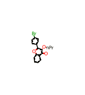 CCCOc1c(-c2ccc(Br)cc2)oc2ccccc2c1=O